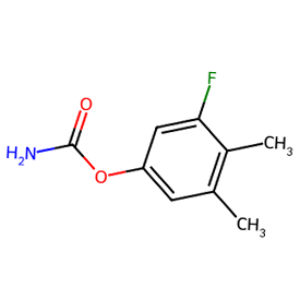 Cc1cc(OC(N)=O)cc(F)c1C